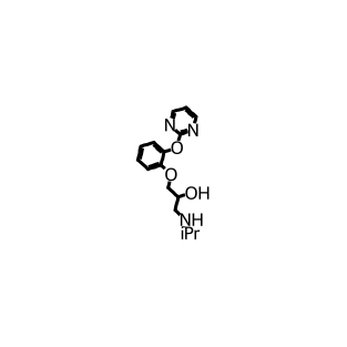 CC(C)NCC(O)COc1ccccc1Oc1ncccn1